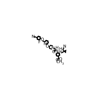 COC(=O)c1ccc(NC(=O)CN2CCC(Oc3cccc(COc4ccc(C#N)cc4F)n3)CC2)c(NCC2(CC#N)CC2)c1